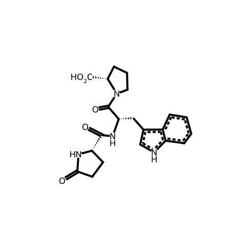 O=C1CC[C@@H](C(=O)N[C@@H](Cc2c[nH]c3ccccc23)C(=O)N2CCC[C@H]2C(=O)O)N1